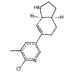 Cc1cc(C2=C[C@H]3NCC[C@H]3CC2)cnc1Cl